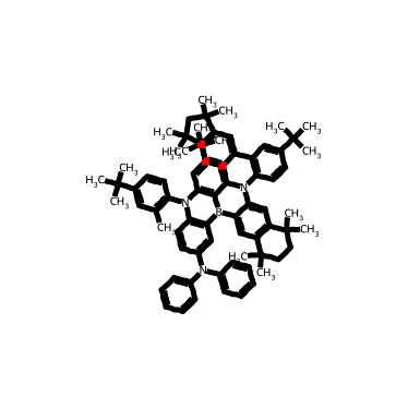 Cc1cc(C(C)(C)C)ccc1N1c2ccc(N(c3ccccc3)c3ccccc3)cc2B2c3cc4c(cc3N(c3ccc(C(C)(C)C)cc3-c3ccc5c(c3)C(C)(C)CC5(C)C)c3cc(C(C)(C)C)cc1c32)C(C)(C)CCC4(C)C